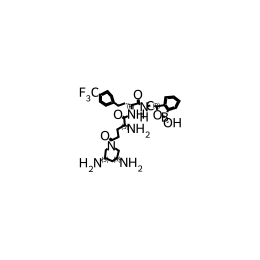 N[C@@H]1C[C@H](N)CN(C(=O)CC[C@H](N)C(=O)N[C@H](CCc2ccc(C(F)(F)F)cc2)C(=O)NC[C@@H]2OB(O)c3ccccc32)C1